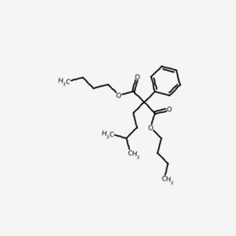 CCCCOC(=O)C(CCC(C)C)(C(=O)OCCCC)c1ccccc1